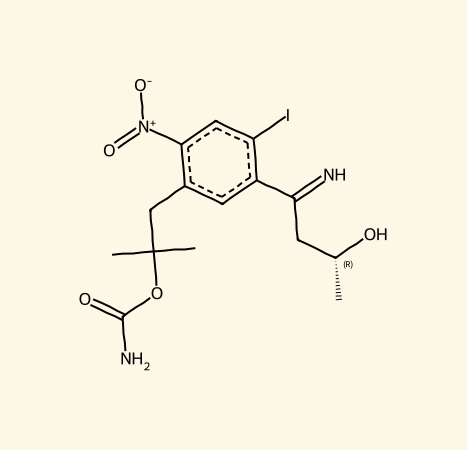 C[C@@H](O)CC(=N)c1cc(CC(C)(C)OC(N)=O)c([N+](=O)[O-])cc1I